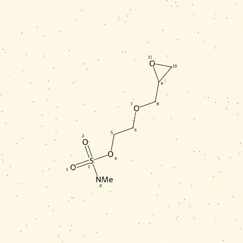 CNS(=O)(=O)OCCOCC1CO1